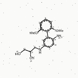 COc1cccc(OC)c1-c1cc(NCC(O)CO)ccc1N